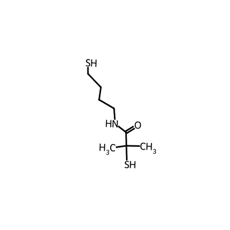 CC(C)(S)C(=O)NCCCCS